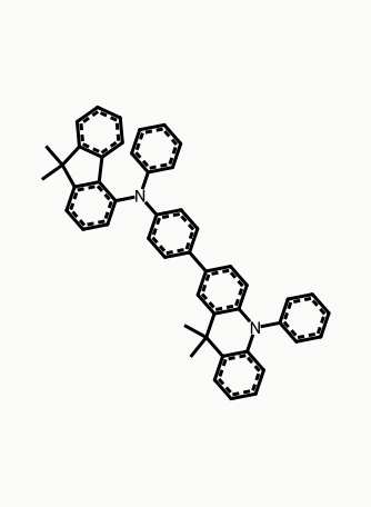 CC1(C)c2ccccc2N(c2ccccc2)c2ccc(-c3ccc(N(c4ccccc4)c4cccc5c4-c4ccccc4C5(C)C)cc3)cc21